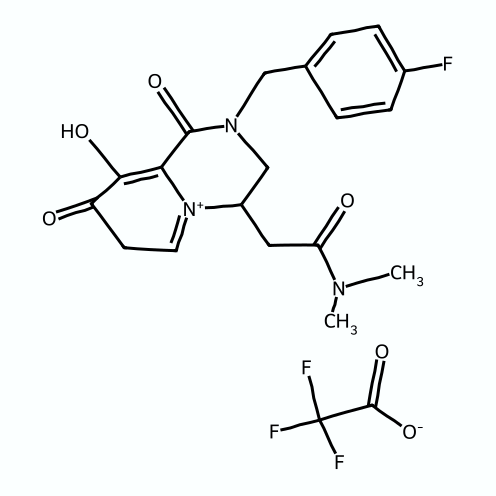 CN(C)C(=O)CC1CN(Cc2ccc(F)cc2)C(=O)C2=C(O)C(=O)CC=[N+]21.O=C([O-])C(F)(F)F